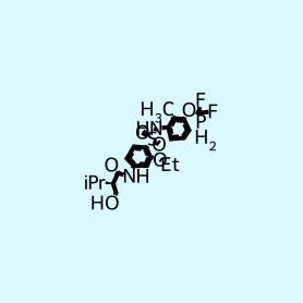 CCOc1cc(NC(=O)[C@@H](CO)C(C)C)ccc1S(=O)(=O)Nc1cccc(OC(F)(F)P)c1C